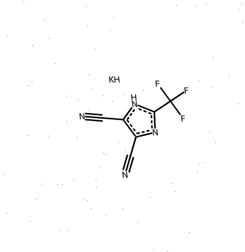 N#Cc1nc(C(F)(F)F)[nH]c1C#N.[KH]